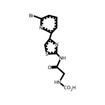 O=C(O)NCC(=O)Nc1nc(-c2cccc(Br)n2)cs1